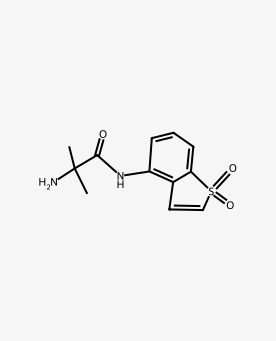 CC(C)(N)C(=O)Nc1cccc2c1C=CS2(=O)=O